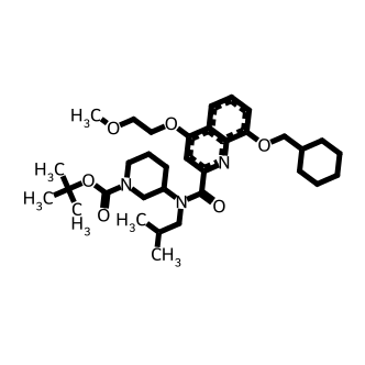 COCCOc1cc(C(=O)N(CC(C)C)C2CCCN(C(=O)OC(C)(C)C)C2)nc2c(OCC3CCCCC3)cccc12